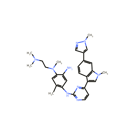 Cc1cc(N(C)CCN(C)C)c(N)cc1Nc1nccc(-c2cn(C)c3cc(-c4cnn(C)c4)ccc23)n1